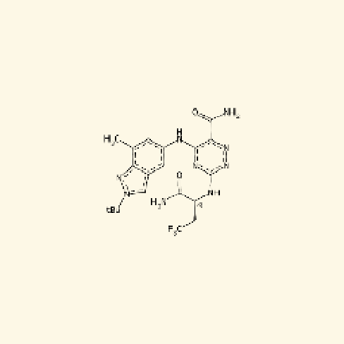 Cc1cc(Nc2nc(N[C@@H](CC(F)(F)F)C(N)=O)nnc2C(N)=O)cc2cn(C(C)(C)C)nc12